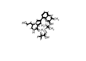 Cc1nc2cccc(-c3cc4n(c3)C(CCO)CNC4=O)c2nc1NC(C)(C)C.O=C(O)C(F)(F)F